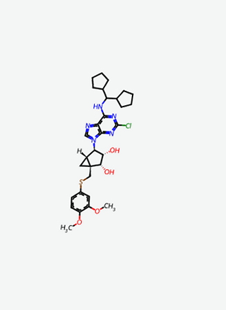 COc1ccc(SC[C@@]23C[C@@H]2[C@@H](n2cnc4c(NC(C5CCCC5)C5CCCC5)nc(Cl)nc42)[C@H](O)[C@@H]3O)cc1OC